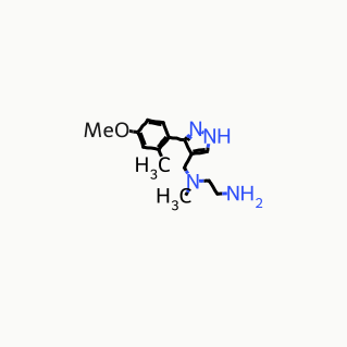 COc1ccc(-c2n[nH]cc2CN(C)CCN)c(C)c1